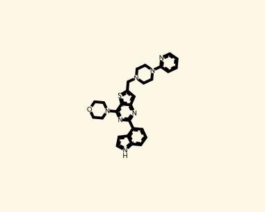 c1ccc(N2CCN(Cc3cc4nc(-c5cccc6[nH]ccc56)nc(N5CCOCC5)c4s3)CC2)nc1